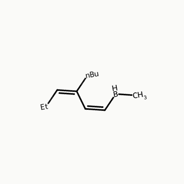 CB/C=C\C(=C/CC)CCCC